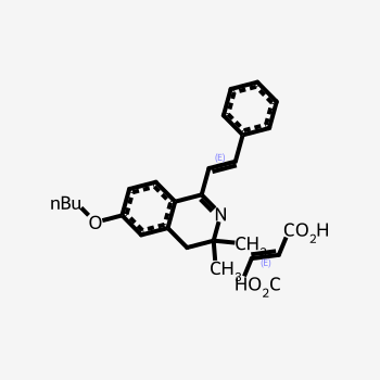 CCCCOc1ccc2c(c1)CC(C)(C)N=C2/C=C/c1ccccc1.O=C(O)/C=C/C(=O)O